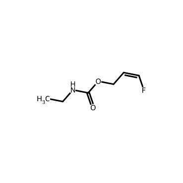 CCNC(=O)OC/C=C\F